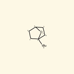 CC(C)(C)C12CCC(CC1)O2